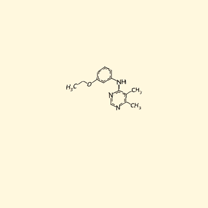 CCOc1cccc(Nc2ncnc(C)c2C)c1